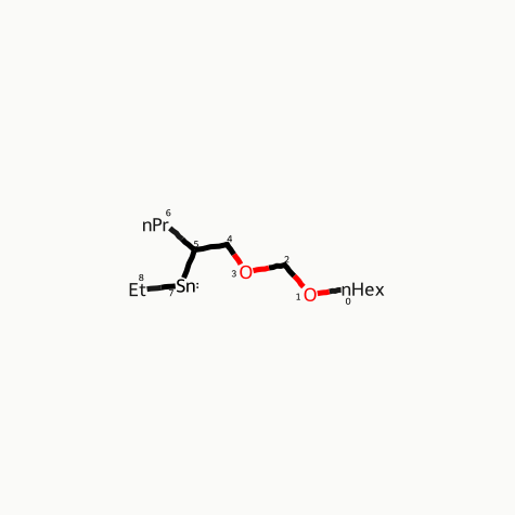 CCCCCCOCOC[CH](CCC)[Sn][CH2]C